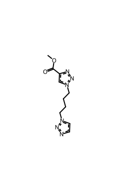 COC(=O)c1cn(CCCCn2ccnn2)nn1